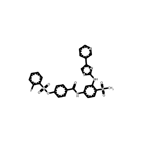 CS(=O)(=O)c1ccc(NC(=O)c2ccc(OS(=O)(=O)c3ccccc3F)cc2)cc1Nc1nc(-c2cccnc2)cs1